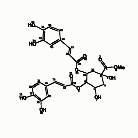 COC(=O)C1(O)CC(O)C(OC(=O)C=Cc2ccc(O)c(O)c2)C(OC(=O)C=Cc2ccc(O)c(O)c2)C1